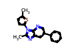 Cc1ccc(-n2c(C)nc3cc(-c4ccccc4)cnc32)s1